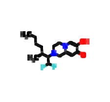 CCCC[C@H](C)C(C(F)F)N1CCn2cc(O)c(=O)cc2C1